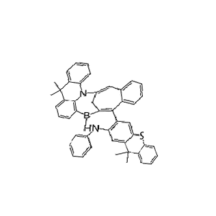 CB1C2=C(c3cc4c(cc3Nc3ccccc3)C(C)(C)c3ccccc3S4)c3ccccc3C=C(C2)N2c3ccccc3C(C)(C)c3cccc1c32